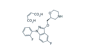 Fc1ccc2c(c1)c(OC[C@@H]1CNCCO1)nn2-c1ccccc1F.O=C(O)/C=C\C(=O)O